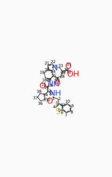 O=C(Cc1csc2ccccc12)NC(C(=O)N[C@H]1CCc2ccn3c2C1C(=O)C[C@H](C(=O)O)C3)C1CCCC1